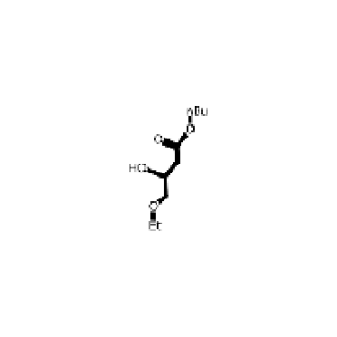 CCCCOC(=O)CC(O)COCC